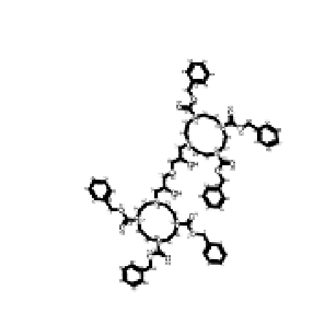 O=C(OCc1ccccc1)N1CCN(CC(O)COCC(O)CN2CCN(C(=O)OCc3ccccc3)CCN(C(=O)OCc3ccccc3)CCN(C(=O)OCc3ccccc3)CC2)CCN(C(=O)OCc2ccccc2)CCN(C(=O)OCc2ccccc2)CC1